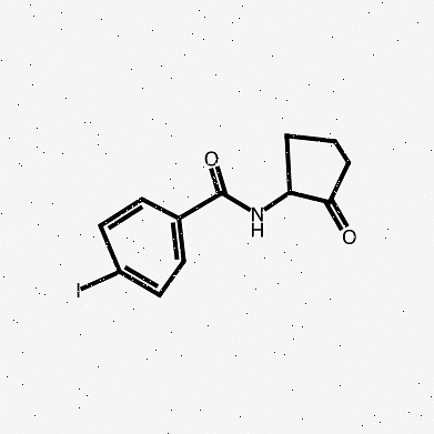 O=C(NC1CCCC1=O)c1ccc(I)cc1